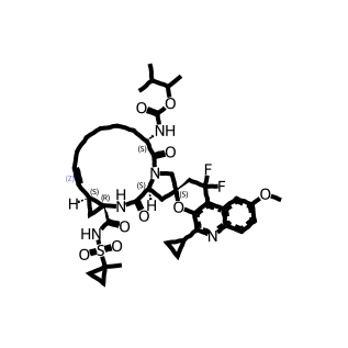 COc1ccc2nc(C3CC3)c3c(c2c1)C(F)(F)C[C@]1(C[C@H]2C(=O)N[C@]4(C(=O)NS(=O)(=O)C5(C)CC5)C[C@H]4/C=C\CCCCC[C@H](NC(=O)OC(C)C(C)C)C(=O)N2C1)O3